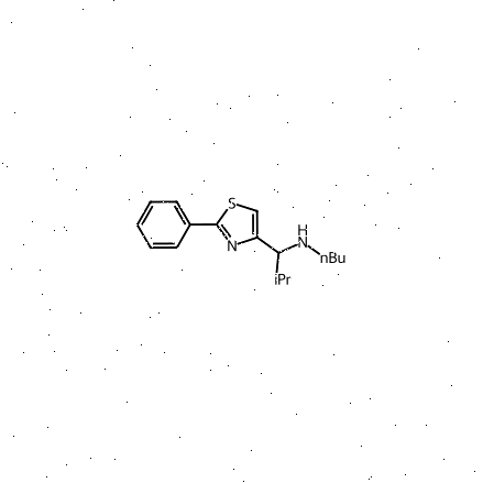 CCCCNC(c1csc(-c2ccccc2)n1)C(C)C